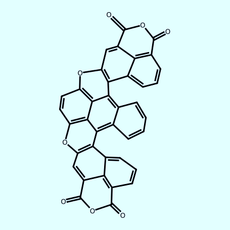 O=c1oc(=O)c2cc3oc4ccc5oc6cc7c(=O)oc(=O)c8cccc(c87)c6c6c7ccccc7c(c3c3cccc1c23)c4c56